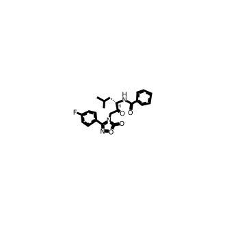 CC(C)C[C@H](NC(=O)c1ccccc1)C(=O)Cn1c(-c2ccc(F)cc2)noc1=O